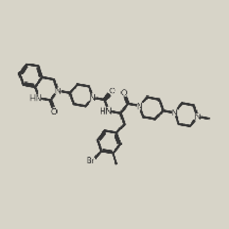 Cc1cc(CC(NC(=O)N2CCC(N3Cc4ccccc4NC3=O)CC2)C(=O)N2CCC(N3CCN(C)CC3)CC2)ccc1Br